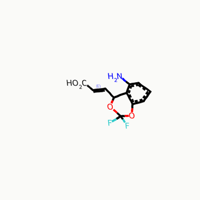 Nc1cccc2c1C(/C=C/C(=O)O)OC(F)(F)O2